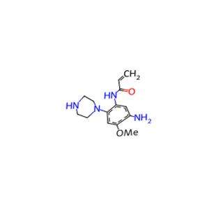 C=CC(=O)Nc1cc(N)c(OC)cc1N1CCNCC1